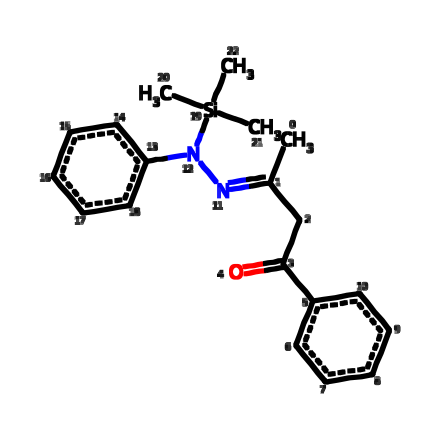 CC(CC(=O)c1ccccc1)=NN(c1ccccc1)[Si](C)(C)C